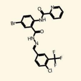 O=C(Nc1ccc(Br)cc1C(=O)NN=Cc1ccc(Cl)c(C(F)(F)F)c1)c1ccccn1